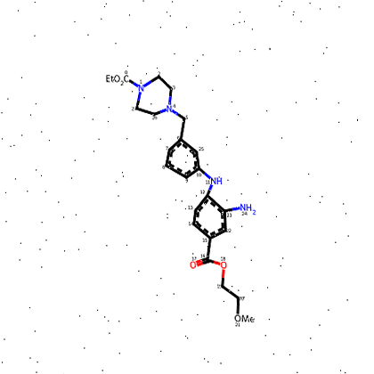 CCOC(=O)N1CCN(Cc2cccc(Nc3ccc(C(=O)OCCOC)cc3N)c2)CC1